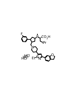 CCn1nc(-c2ccc3c(c2)OCC3)cc1C1CCN(CC2CC(N(C)[C@H](CC(C)C)C(=O)O)CC2c2cccc(F)c2)CC1.Cl.Cl.Cl